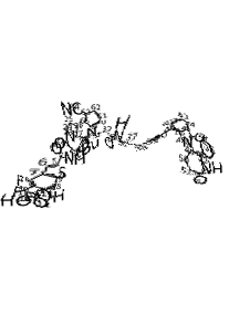 CC(C)(C)C(NC(=O)c1cc2cc(C(F)(F)P(=O)(O)O)ccc2s1)C(=O)N1CCC[C@H]1C(=O)N(CCC(=O)NCCCC#Cc1cccc2c1CN(C1CCC(=O)NC1=O)C2=O)c1cccc(C#N)c1